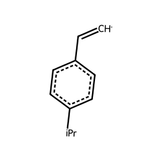 [CH]=Cc1ccc(C(C)C)cc1